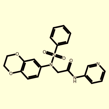 O=C(CN(c1ccc2c(c1)OCCO2)S(=O)(=O)c1ccccc1)Nc1cccnc1